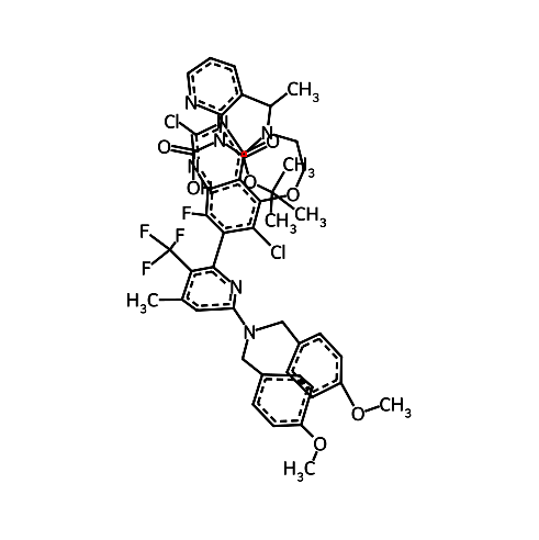 COc1ccc(CN(Cc2ccc(OC)cc2)c2cc(C)c(C(F)(F)F)c(-c3c(Cl)c4c5c(nc(Cl)nc5c3F)N(C(C)c3cccnc3N(C(=O)O)C(=O)OC(C)(C)C)CCO4)n2)cc1